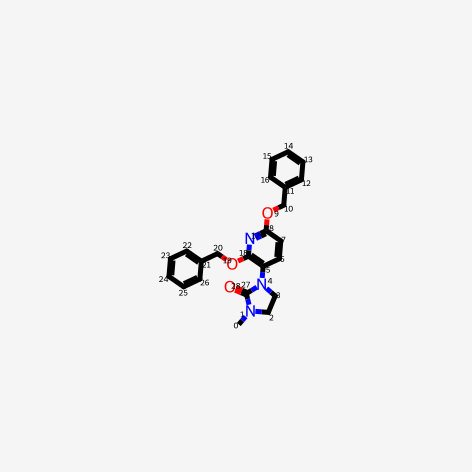 CN1CCN(c2ccc(OCc3ccccc3)nc2OCc2ccccc2)C1=O